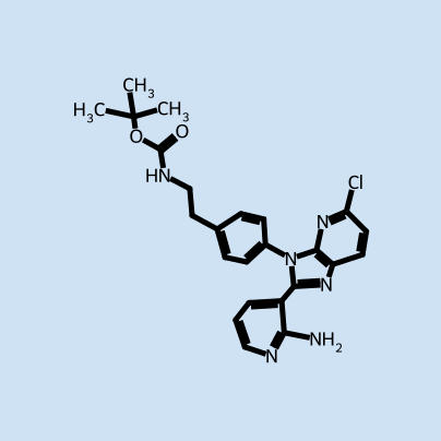 CC(C)(C)OC(=O)NCCc1ccc(-n2c(-c3cccnc3N)nc3ccc(Cl)nc32)cc1